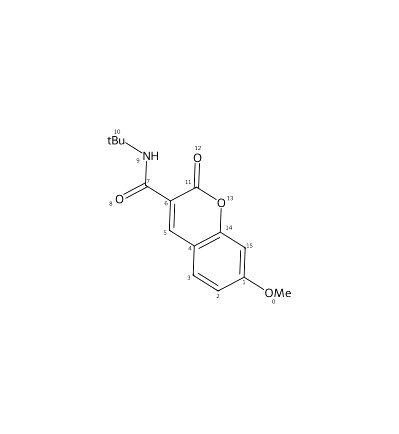 COc1ccc2cc(C(=O)NC(C)(C)C)c(=O)oc2c1